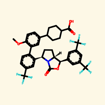 COc1ccc(C2CCC(C(=O)O)CC2)cc1-c1ccc(C(F)(F)F)cc1[C@@H]1CC[C@H]2[C@@H](c3cc(C(F)(F)F)cc(C(F)(F)F)c3)OC(=O)N12